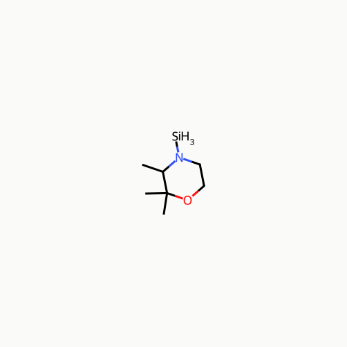 CC1N([SiH3])CCOC1(C)C